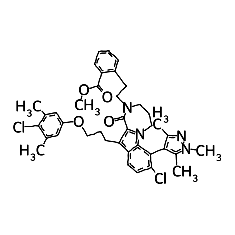 COC(=O)c1ccccc1CCN1CCCn2c(c(CCCOc3cc(C)c(Cl)c(C)c3)c3ccc(Cl)c(-c4c(C)nn(C)c4C)c32)C1=O